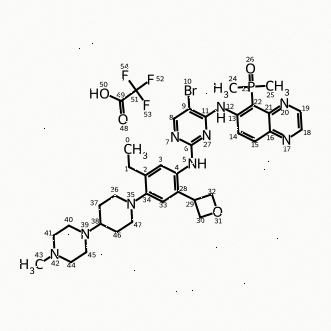 CCc1cc(Nc2ncc(Br)c(Nc3ccc4nccnc4c3P(C)(C)=O)n2)c(C2COC2)cc1N1CCC(N2CCN(C)CC2)CC1.O=C(O)C(F)(F)F